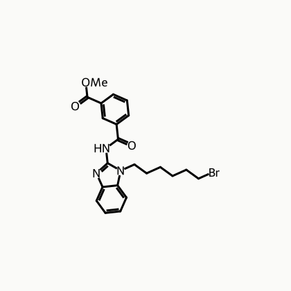 COC(=O)c1cccc(C(=O)Nc2nc3ccccc3n2CCCCCCBr)c1